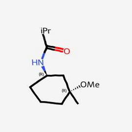 CO[C@]1(C)CCC[C@@H](NC(=O)C(C)C)C1